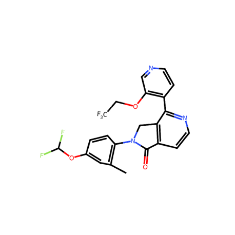 Cc1cc(OC(F)F)ccc1N1Cc2c(ccnc2-c2ccncc2OCC(F)(F)F)C1=O